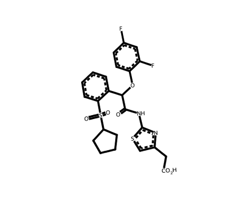 O=C(O)Cc1csc(NC(=O)C(Oc2ccc(F)cc2F)c2ccccc2S(=O)(=O)C2CCCC2)n1